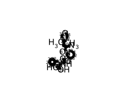 CC(C)(C=C(C#N)C(=O)N1CCCC[C@H](OC(=O)N[C@@H](Cc2ccccc2)B(O)O)C1)N1CCOCC1